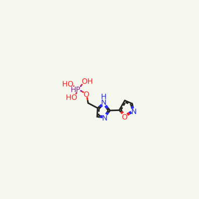 O[PH](O)(O)OCc1cnc(-c2ccno2)[nH]1